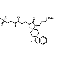 COCCCN1C(=O)N(CCC(=O)NCCS(C)(=O)=O)C[C@]12CC[C@@](c1ccccc1)(N(C)C)CC2